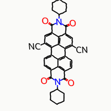 N#Cc1cc2c3c(cc(C#N)c4c5ccc6c7c(ccc(c1c34)c75)C(=O)N(C1CCCCC1)C6=O)C(=O)N(C1CCCCC1)C2=O